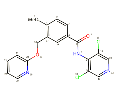 COc1ccc(C(=O)Nc2c(Cl)cncc2Cl)cc1COc1ccccn1